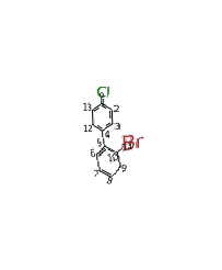 Clc1ccc(C2=CC=CCC2Br)cc1